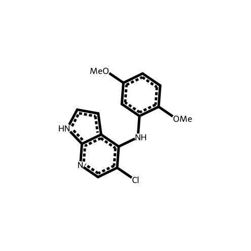 COc1ccc(OC)c(Nc2c(Cl)cnc3[nH]ccc23)c1